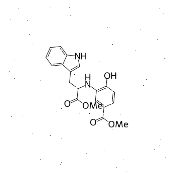 COC(=O)c1ccc(O)c(NC(Cc2c[nH]c3ccccc23)C(=O)OC)c1